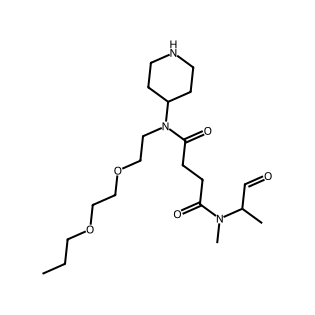 CCCOCCOCCN(C(=O)CCC(=O)N(C)C(C)C=O)C1CCNCC1